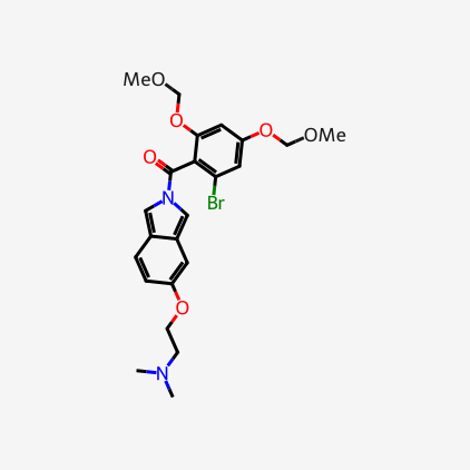 COCOc1cc(Br)c(C(=O)n2cc3ccc(OCCN(C)C)cc3c2)c(OCOC)c1